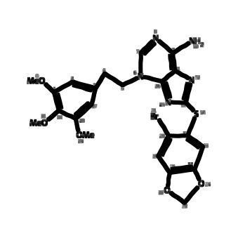 COc1cc(CCn2cnc(N)c3nc(Sc4cc5c(cc4Br)OCO5)nc2-3)cc(OC)c1OC